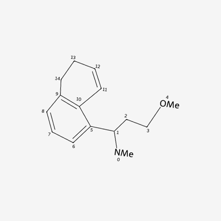 CNC(CCOC)c1cccc2c1C=CCC2